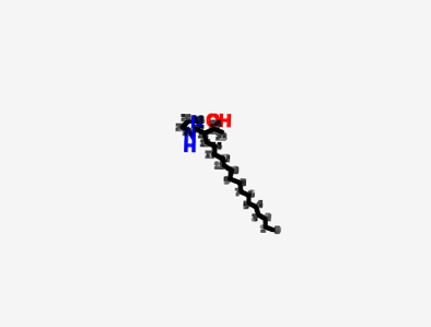 CCCCCCCCCCCCCCCCC(C1=NCCN1)C(C)O